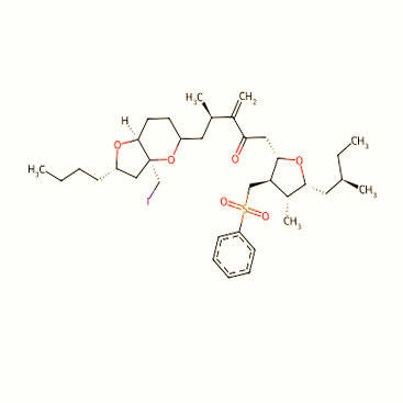 C=C(C(=O)C[C@@H]1O[C@H](C[C@H](C)CC)[C@H](C)[C@H]1CS(=O)(=O)c1ccccc1)[C@H](C)CC1CC[C@@H]2O[C@@H](CCCC)C[C@]2(CI)O1